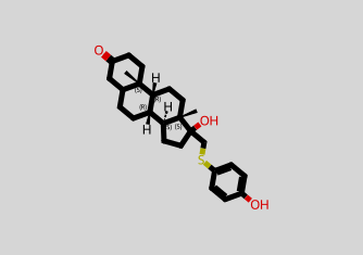 C[C@]12CCC(=O)CC1CC[C@@H]1[C@H]2CC[C@@]2(C)[C@H]1CCC2(O)CSc1ccc(O)cc1